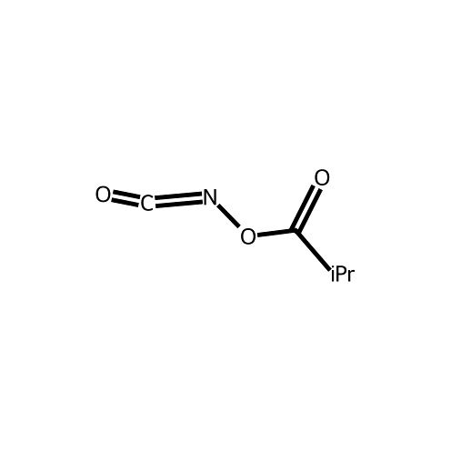 CC(C)C(=O)ON=C=O